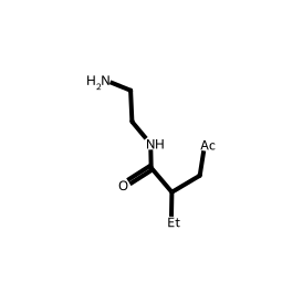 CCC(CC(C)=O)C(=O)NCCN